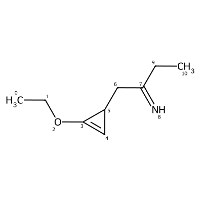 CCOC1=CC1CC(=N)CC